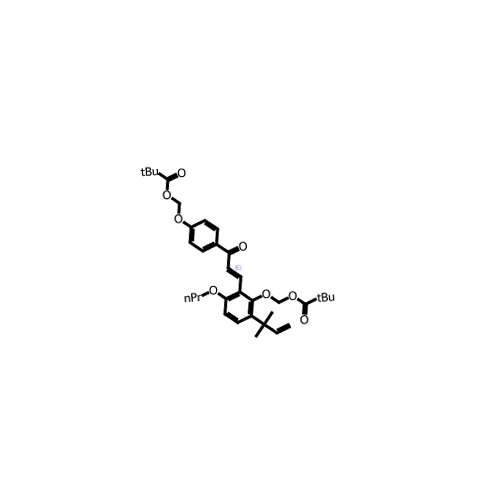 C=CC(C)(C)c1ccc(OCCC)c(/C=C/C(=O)c2ccc(OCOC(=O)C(C)(C)C)cc2)c1OCOC(=O)C(C)(C)C